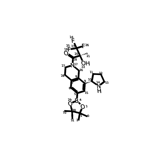 CC1(C)OB(c2cc3c(c([C@@H]4CCCN4)c2)CN(C(=O)[C@](C)(O)C(F)(F)F)CC3)OC1(C)C